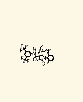 CCN(CCF)C[C@@]1(C(=O)Nc2cc(C(F)(F)F)cc(C(F)(F)F)c2)CN(c2c(C)cccc2C)C(=O)[C@H]1C